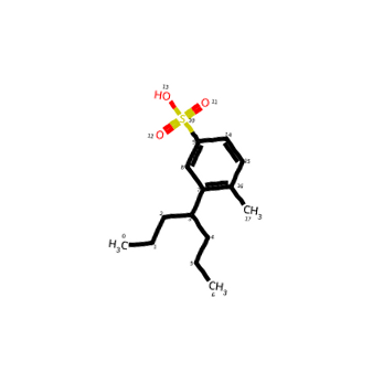 CCCC(CCC)c1cc(S(=O)(=O)O)ccc1C